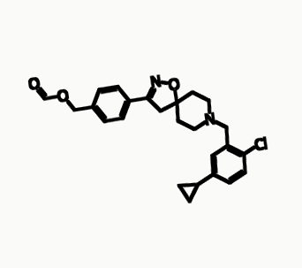 O=COCc1ccc(C2=NOC3(CCN(Cc4cc(C5CC5)ccc4Cl)CC3)C2)cc1